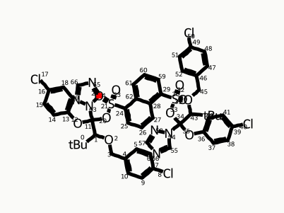 CC(C)(C)C(OCc1ccc(Cl)cc1)C(Oc1ccc(Cl)cc1)(OS(=O)(=O)c1cccc2c(S(=O)(=O)OC(Oc3ccc(Cl)cc3)(C(OCc3ccc(Cl)cc3)C(C)(C)C)n3cncn3)cccc12)n1cncn1